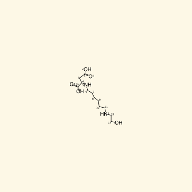 O=C(O)CC(NCCCCCCNCCO)C(=O)O